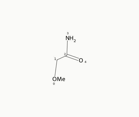 CO[CH]C(N)=O